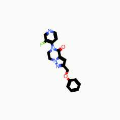 O=C1c2cc(COc3ccccc3)nn2CCN1c1ccncc1F